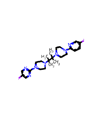 CC(C)(N1CCN(c2ccc(I)cn2)CC1)C(C)(C)N1CCN(c2ncc(I)cn2)CC1